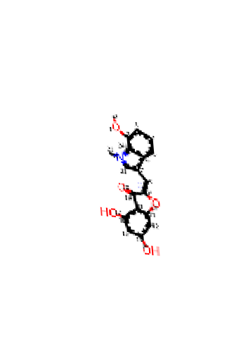 COc1cccc2c(/C=C3/Oc4cc(O)cc(O)c4C3=O)cn(C)c12